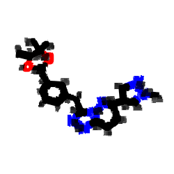 C=C1OB(c2cccc(Cc3nnc4ccc(-c5cnn(C)c5)nn34)c2)OC1(C)C